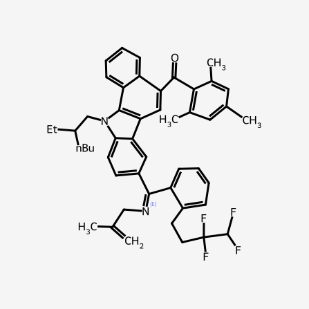 C=C(C)C/N=C(\c1ccc2c(c1)c1cc(C(=O)c3c(C)cc(C)cc3C)c3ccccc3c1n2CC(CC)CCCC)c1ccccc1CCC(F)(F)C(F)F